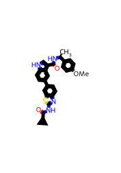 COc1ccc([C@H](C)NC(=O)c2c[nH]c3ccc(-c4ccc5nc(NC(=O)C6CC6)sc5c4)cc23)cc1